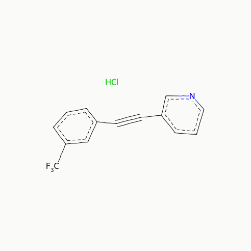 Cl.FC(F)(F)c1cccc(C#Cc2cccnc2)c1